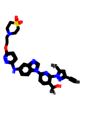 C#Cc1cc(C)n(-c2nc(-n3cnc4cc(Nc5ccc(OCCN6CCS(=O)(=O)CC6)nn5)ccc43)ccc2C(C)O)n1